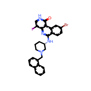 O=c1[nH]cc(I)c2nc(N[C@H]3CCCN(Cc4cccc5ccccc45)C3)c3ccc(Br)cc3c12